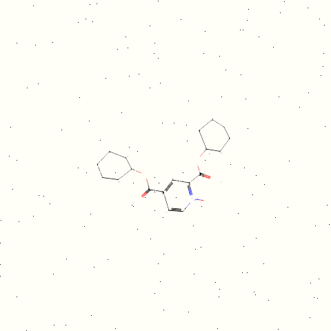 O=C(OC1CCCCC1)c1cc[n+]([O-])c(C(=O)OC2CCCCC2)c1